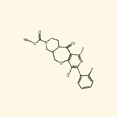 CC(C)(C)OC(=O)N1CCN2C(=O)c3c(F)nc(-c4ccccc4F)c(Cl)c3OCC2C1